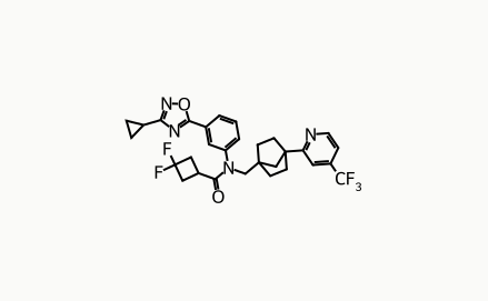 O=C(C1CC(F)(F)C1)N(CC12CCC(c3cc(C(F)(F)F)ccn3)(CC1)C2)c1cccc(-c2nc(C3CC3)no2)c1